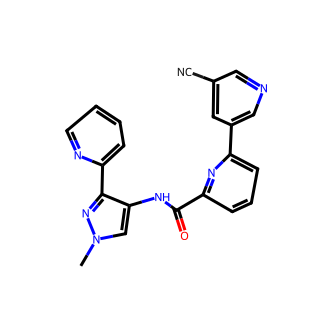 Cn1cc(NC(=O)c2cccc(-c3cncc(C#N)c3)n2)c(-c2ccccn2)n1